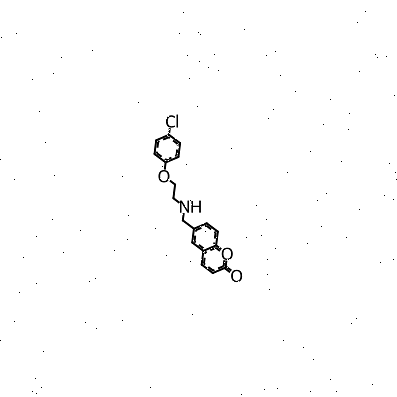 O=c1ccc2cc(CNCCOc3ccc(Cl)cc3)ccc2o1